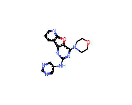 c1cnc2oc3c(N4CCOCC4)nc(Nc4cncnc4)nc3c2c1